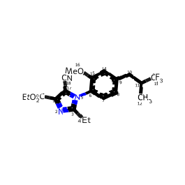 CCOC(=O)c1nc(CC)n(-c2ccc(CC(C)C(F)(F)F)cc2OC)c1C#N